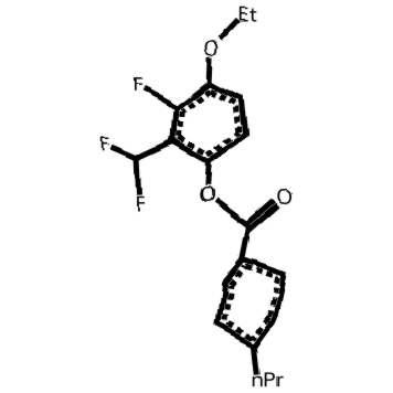 CCCc1ccc(C(=O)Oc2ccc(OCC)c(F)c2C(F)F)cc1